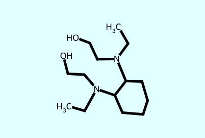 CCN(CCO)C1CCCCC1N(CC)CCO